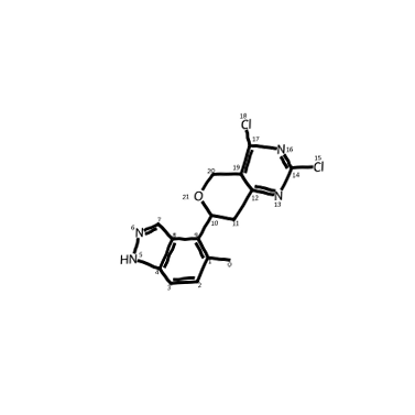 Cc1ccc2[nH]ncc2c1C1Cc2nc(Cl)nc(Cl)c2CO1